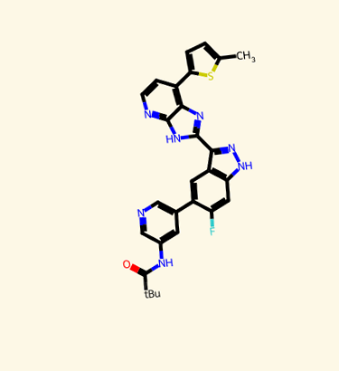 Cc1ccc(-c2ccnc3[nH]c(-c4n[nH]c5cc(F)c(-c6cncc(NC(=O)C(C)(C)C)c6)cc45)nc23)s1